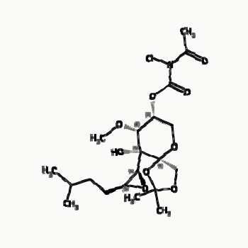 CO[C@@H]1[C@H](OC(=O)N(Cl)C(C)=O)CO[C@]2(COC(C)(C)O2)[C@@]1(O)[C@H]1O[C@H]1CCC(C)C